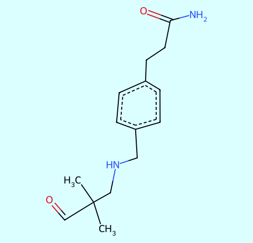 CC(C)(C=O)CNCc1ccc(CCC(N)=O)cc1